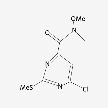 CON(C)C(=O)c1cc(Cl)nc(SC)n1